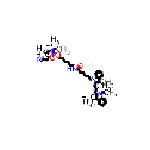 CC[N+]1=C(/C=C/C=C2/N(CCCCCC(=O)NCCCCCCOP(OCCC#N)N(C(C)C)C(C)C)c3ccccc3C2(C)C)C(C)(C)c2ccccc21